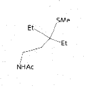 CCC(CC)(CCNC(C)=O)SC